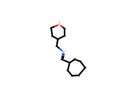 C(=N\CC1CCOCC1)/C1CCCCCC1